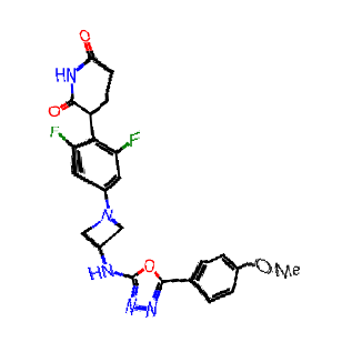 COc1ccc(-c2nnc(NC3CN(c4cc(F)c(C5CCC(=O)NC5=O)c(F)c4)C3)o2)cc1